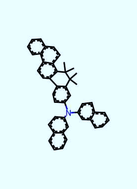 CC1(C)c2cc(N(c3ccc4ccccc4c3)c3ccc4ccccc4c3)ccc2-c2ccc3c(ccc4ccccc43)c2C1(C)C